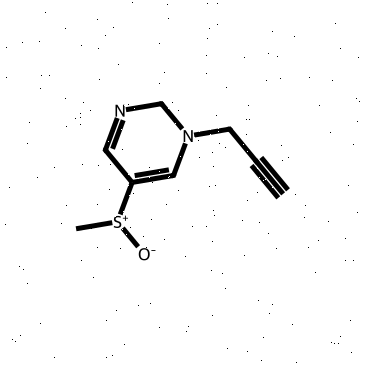 C#CCN1C=C([S+](C)[O-])C=NC1